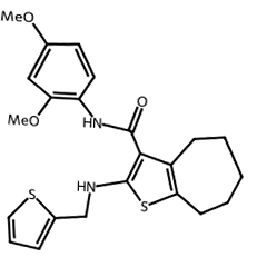 COc1ccc(NC(=O)c2c(NCc3cccs3)sc3c2CCCCC3)c(OC)c1